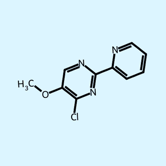 COc1cnc(-c2ccccn2)nc1Cl